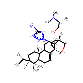 CC(C)[C@@H](C)[C@@]1(C)CC[C@]2(C)C3CC[C@@H]4[C@@]5(COC[C@@]4(C)[C@@H](OC[C@@H](C(C)C)N(C)C)[C@H](n4nnc(N)n4)C5)C3=CC[C@@]2(C)[C@@H]1C(=O)O